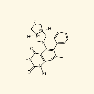 CCn1c(=O)[nH]c(=O)c2c(N3C[C@H]4CNC[C@H]4C3)c(-c3ccccc3)c(C)cc21